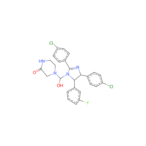 O=C1CN(C(O)N2C(c3ccc(Cl)cc3)=NC(c3ccc(Cl)cc3)C2c2cccc(F)c2)CCN1